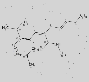 CCC=CCC(=CC[C@@H](/C=N\N(C)C)C(C)C)C(O)NC